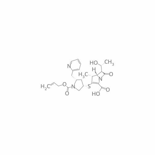 C=CCOC(=O)N1C[C@@H](SC2=C(C(=O)O)N3C(=O)[C@H]([C@@H](C)O)[C@H]3[C@H]2C)C[C@H]1Cc1ccccn1